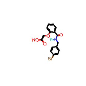 O=C(O)COc1ccccc1C(=O)N(F)Cc1ccc(Br)cc1